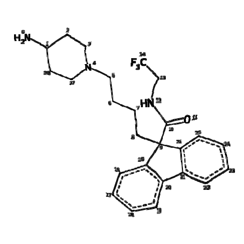 NC1CCN(CCCCC2(C(=O)NCC(F)(F)F)c3ccccc3-c3ccccc32)CC1